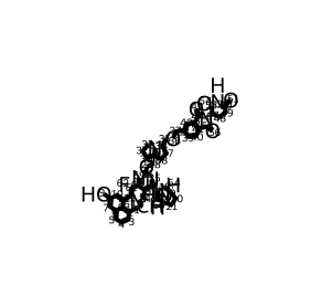 C#Cc1cccc2cc(O)cc(-c3ncc4c(N5C[C@H]6CC[C@@H](C5)N6)nc(OC[C@@]56CCCN5C(COCc5ccc7c(c5)C(=O)N(C5CCC(=O)NC5=O)C7=O)CC6)nc4c3F)c12